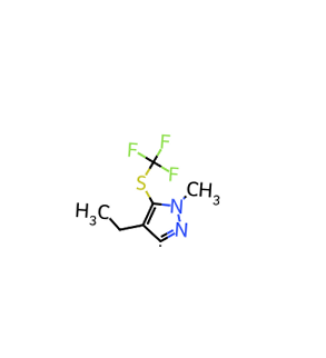 CCc1[c]nn(C)c1SC(F)(F)F